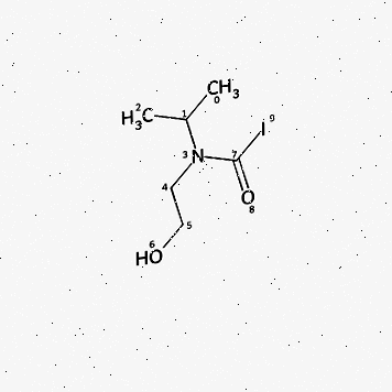 CC(C)N(CCO)C(=O)I